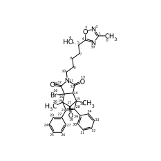 Cc1noc([C@@H](O)CCCCN2C(=O)C3C4(C)C(=O)C(C)(C(c5ccccc5)=C4c4ccccc4)C3(Br)C2=O)n1